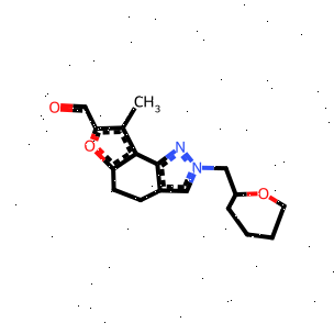 Cc1c(C=O)oc2c1-c1nn(CC3CCCCO3)cc1CC2